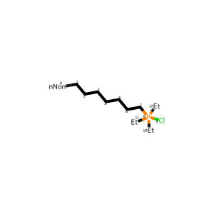 CCCCCCCCCCCCCCCCP(Cl)(CC)(CC)CC